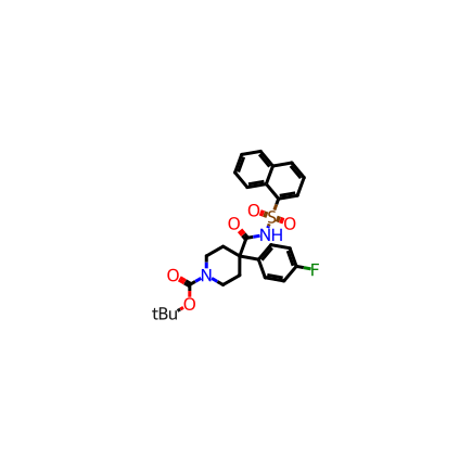 CC(C)(C)OC(=O)N1CCC(C(=O)NS(=O)(=O)c2cccc3ccccc23)(c2ccc(F)cc2)CC1